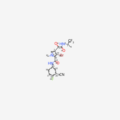 C[C@@H](NC(=O)C(=O)c1cn(C)c(C(=O)Nc2ccc(F)c(C#N)c2)c1Br)C(F)(F)F